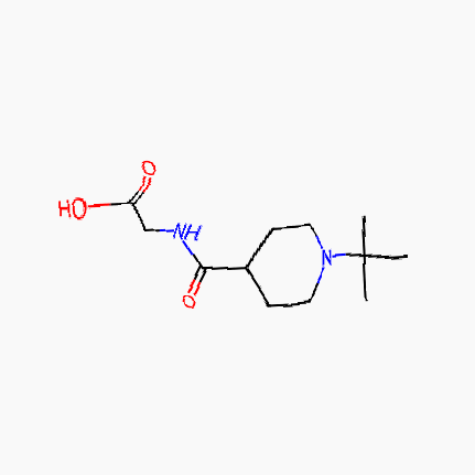 CC(C)(C)N1CCC(C(=O)NCC(=O)O)CC1